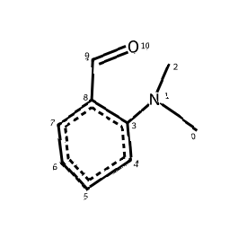 CN(C)c1ccccc1[C]=O